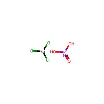 O=[PH](O)O.[Cl][Sb]([Cl])[Cl]